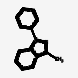 Cc1nn(-c2ccccc2)c2ccccc12